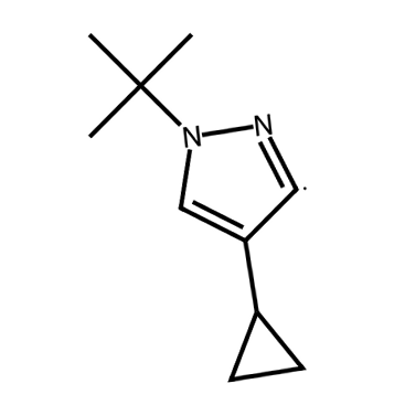 CC(C)(C)n1cc(C2CC2)[c]n1